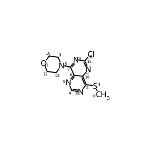 CSc1ncnc2c(N3CCOCC3)nc(Cl)nc12